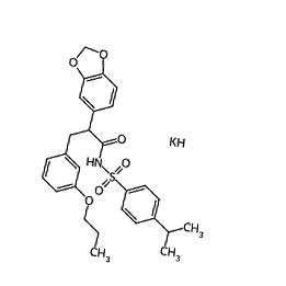 CCCOc1cccc(CC(C(=O)NS(=O)(=O)c2ccc(C(C)C)cc2)c2ccc3c(c2)OCO3)c1.[KH]